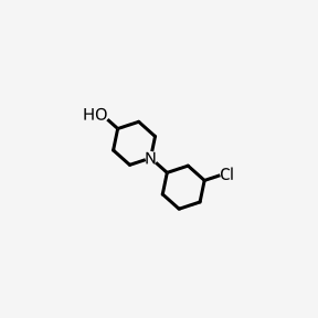 OC1CCN(C2CCCC(Cl)C2)CC1